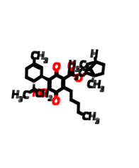 C=C(C)[C@@H]1CCC(C)=C[C@H]1C1=C(O)C(=O)C(CCCCC)=C(C(=O)OC2C[C@@H]3CC[C@]2(C)C3(C)C)C1=O